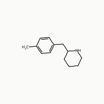 Cc1ccc(CC2CCCCN2)cc1